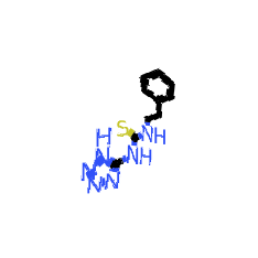 S=C(NCCc1ccccc1)Nc1nnn[nH]1